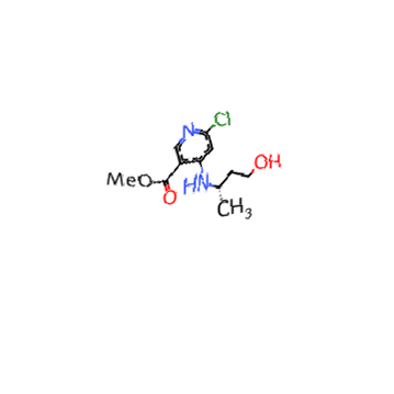 COC(=O)c1cnc(Cl)cc1N[C@@H](C)CCO